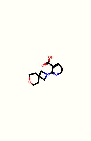 O=C(O)C1=CCCN=C1N1CC2(CCOCC2)C1